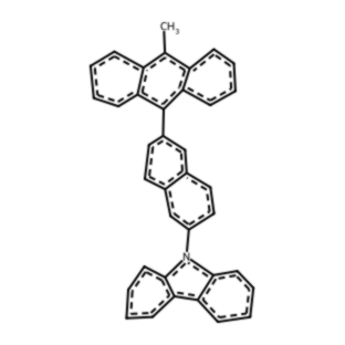 Cc1c2ccccc2c(-c2ccc3cc(-n4c5ccccc5c5ccccc54)ccc3c2)c2ccccc12